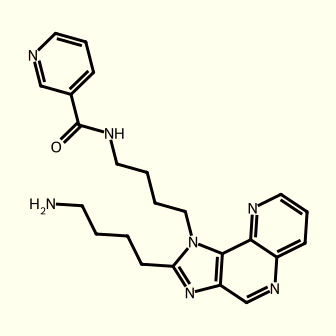 NCCCCc1nc2cnc3cccnc3c2n1CCCCNC(=O)c1cccnc1